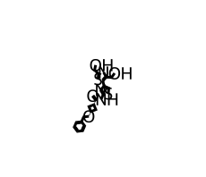 O=C(Nc1nc(-c2sc(CO)nc2CO)cs1)[C@H]1C[C@@H](OCc2ccccc2)C1